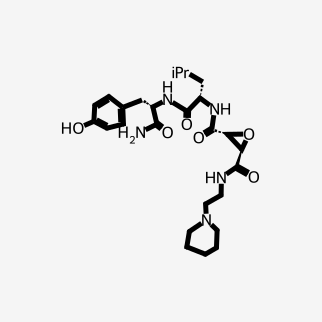 CC(C)C[C@H](NC(=O)[C@@H]1O[C@H]1C(=O)NCCN1CCCCC1)C(=O)N[C@@H](Cc1ccc(O)cc1)C(N)=O